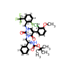 COc1cccc(-c2cn(Cc3c(F)cccc3C(F)(F)F)c(=O)n(CC(NC(=O)OC(C)(C)C)c3ccccc3)c2=O)c1Cl